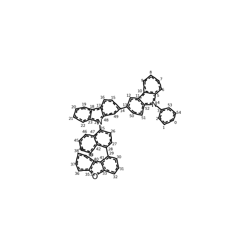 c1ccc(-n2c3ccccc3c3cc(-c4ccc5c6ccccc6n(-c6ccc(-c7cccc8oc9ccccc9c78)c7ccccc67)c5c4)ccc32)cc1